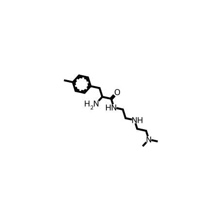 Cc1ccc(CC(N)C(=O)NCCNCCN(C)C)cc1